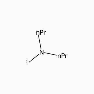 [C]N(CCC)CCC